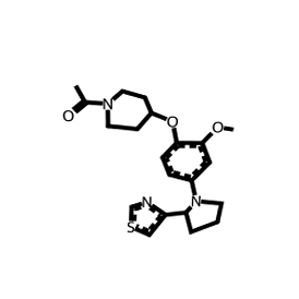 COc1cc(N2CCCC2c2cscn2)ccc1OC1CCN(C(C)=O)CC1